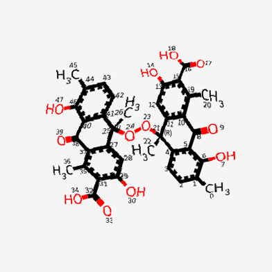 Cc1ccc2c(c1O)C(=O)c1c(cc(O)c(C(=O)O)c1C)[C@@]2(C)OO[C@]1(C)c2cc(O)c(C(=O)O)c(C)c2C(=O)c2c1ccc(C)c2O